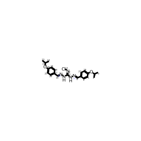 CC(C)Oc1ccc(/C=N/NC(=NCl)N/N=C/c2ccc(OC(C)C)cc2)cc1